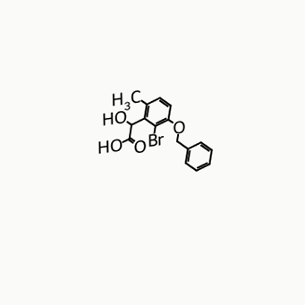 Cc1ccc(OCc2ccccc2)c(Br)c1C(O)C(=O)O